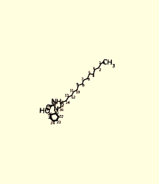 CCCCCCCCCCCCCCCCCN(C(N)=O)c1ccccc1O